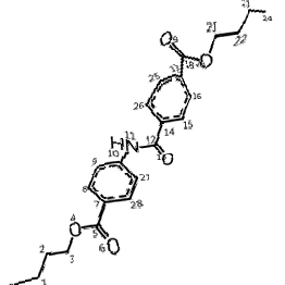 CCCCOC(=O)c1ccc(NC(=O)c2ccc(C(=O)OCCCC)cc2)cc1